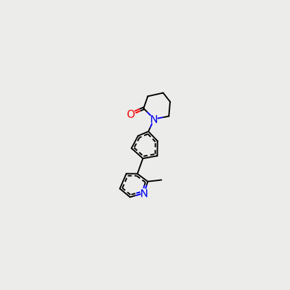 Cc1ncccc1-c1ccc(N2CCCCC2=O)cc1